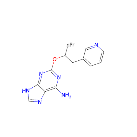 CCCC(Cc1cccnc1)Oc1nc(N)c2nc[nH]c2n1